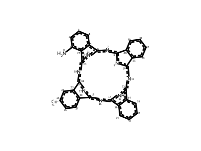 Nc1cccc2c3nc4nc(nc5[nH]c(nc6nc(nc([nH]3)c12)-c1ccccc1-6)c1ccccc51)-c1ccccc1-4.[Co]